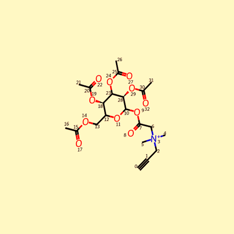 C#CC[N+](C)(C)CC(=O)OC1OC(COC(C)=O)[C@@H](OC(C)=O)C(OC(C)=O)[C@H]1OC(C)=O